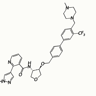 CN1CCN(Cc2ccc(-c3ccc(CO[C@H]4COC[C@@H]4NC(=O)c4cccnc4-c4cn[nH]c4)cc3)cc2C(F)(F)F)CC1